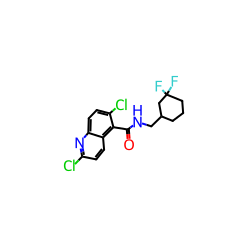 O=C(NCC1CCCC(F)(F)C1)c1c(Cl)ccc2nc(Cl)ccc12